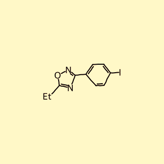 CCc1nc(-c2ccc(I)cc2)no1